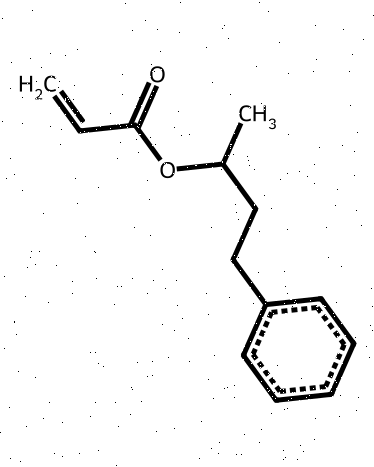 C=CC(=O)OC(C)CCc1ccccc1